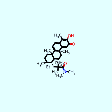 CC[C@]1(C)CC[C@]2(C)C3=CC=C4C(=CC(=O)C(O)=C4C)[C@]3(C)CC[C@@]2(C)[C@@H]1CC(C)(C)C(=O)N(C)C